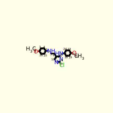 COc1ccc(NCCc2cnc(Cl)nc2Nc2ccc(OC)cc2)cc1